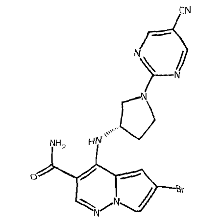 N#Cc1cnc(N2CC[C@H](Nc3c(C(N)=O)cnn4cc(Br)cc34)C2)nc1